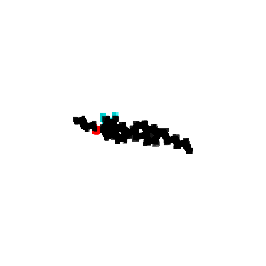 CC=CCOc1cc2ccc(C3CCC4CC(CCCCCC)CCC4C3)cc2c(F)c1F